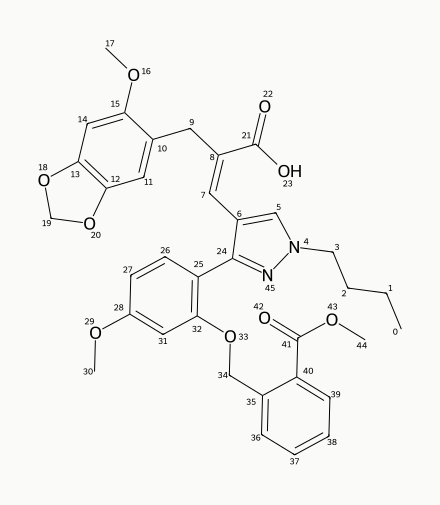 CCCCn1cc(C=C(Cc2cc3c(cc2OC)OCO3)C(=O)O)c(-c2ccc(OC)cc2OCc2ccccc2C(=O)OC)n1